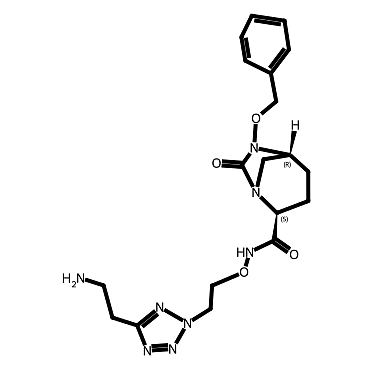 NCCc1nnn(CCONC(=O)[C@@H]2CC[C@@H]3CN2C(=O)N3OCc2ccccc2)n1